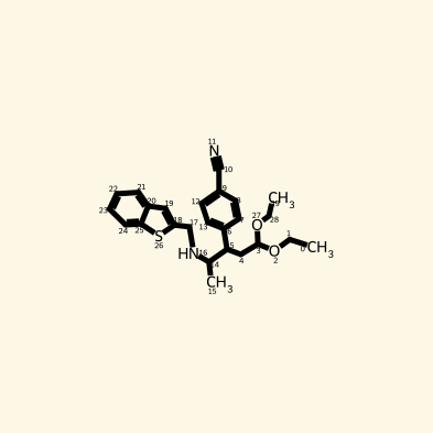 CCOC(CC(c1ccc(C#N)cc1)C(C)NCc1cc2ccccc2s1)OCC